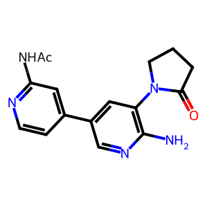 CC(=O)Nc1cc(-c2cnc(N)c(N3CCCC3=O)c2)ccn1